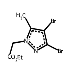 CCOC(=O)Cn1nc(Br)c(Br)c1C